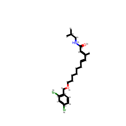 CC(C=CCCCCCCOCc1ccc(Br)cc1Br)=CC(=O)NCC(C)C